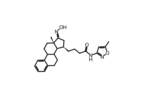 Cc1cc(NC(=O)CCC[C@@H]2C/C(=N\O)[C@@]3(C)CCC4c5ccccc5CCC4C23)no1